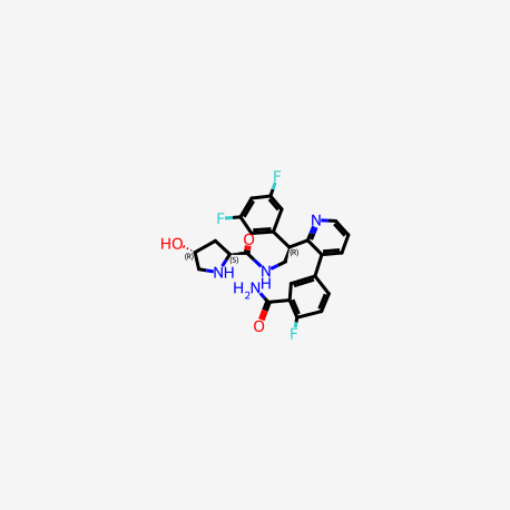 NC(=O)c1cc(-c2cccnc2[C@@H](CNC(=O)[C@@H]2C[C@@H](O)CN2)c2cc(F)cc(F)c2)ccc1F